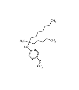 CCCCCCCC(C)(CCCCC)Nc1ccc(OC)nc1